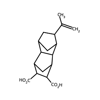 C=C(C)C1CC2CC1C1C3CC(C(C(=O)O)C3C(=O)O)C21